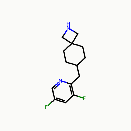 Fc1cnc(CC2CCC3(CC2)CNC3)c(F)c1